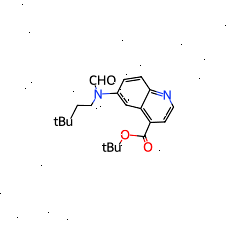 CC(C)(C)CCN(C=O)c1ccc2nccc(C(=O)OC(C)(C)C)c2c1